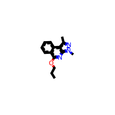 CCCOc1nc2c(c(C)nn2C)c2ccccc12